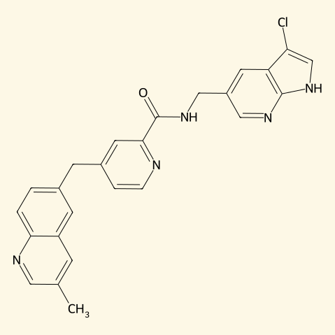 Cc1cnc2ccc(Cc3ccnc(C(=O)NCc4cnc5[nH]cc(Cl)c5c4)c3)cc2c1